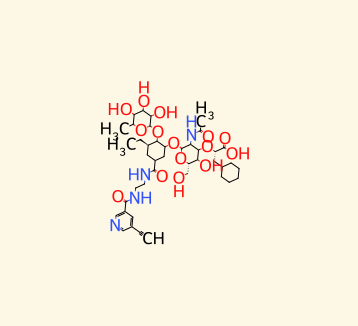 C#Cc1cncc(C(=O)NCCNC(=O)C2CC(O[C@@H]3O[C@@H](CO)C(O)C(O[C@@H](CC4CCCCC4)C(=O)O)C3NC(C)=O)C(OC3OC(C)C(O)C(O)C3O)[C@H](CC)C2)c1